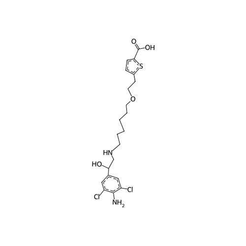 Nc1c(Cl)cc(C(O)CNCCCCCCOCCc2ccc(C(=O)O)s2)cc1Cl